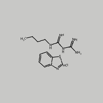 CCCCNC(=N)NC(=N)N.Cl.c1ccc2scnc2c1